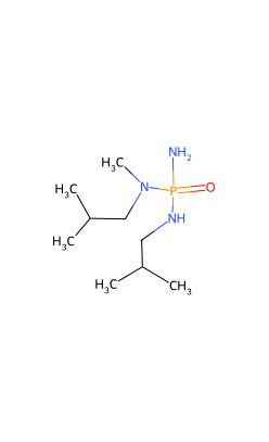 CC(C)CNP(N)(=O)N(C)CC(C)C